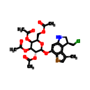 CC(=O)OC[C@H]1O[C@@H](Oc2cc3c(c4c(C)csc24)[C@H](CCl)CN3)[C@H](OC(C)=O)[C@@H](OC(C)=O)[C@H]1OC(C)=O